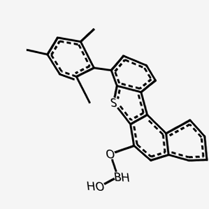 Cc1cc(C)c(-c2cccc3c2sc2c(OBO)cc4ccccc4c23)c(C)c1